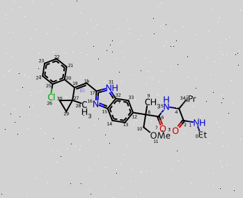 CCNC(=O)C(NC(=O)C(C)(COC)c1ccc2nc(/C=C(/c3ccccc3Cl)C3(C)CC3)[nH]c2c1)C(C)C